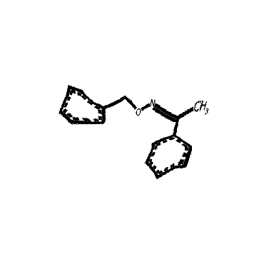 CC(=NOCc1ccccc1)c1cc[c]cc1